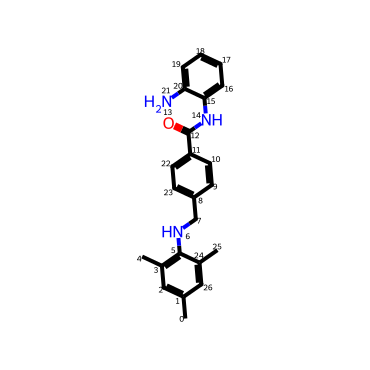 Cc1cc(C)c(NCc2ccc(C(=O)Nc3ccccc3N)cc2)c(C)c1